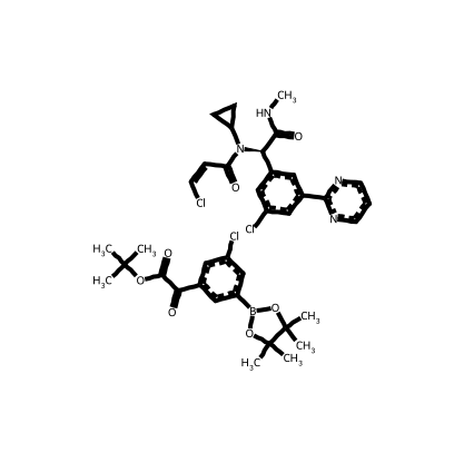 CC(C)(C)OC(=O)C(=O)c1cc(Cl)cc(B2OC(C)(C)C(C)(C)O2)c1.CNC(=O)[C@@H](c1cc(Cl)cc(-c2ncccn2)c1)N(C(=O)/C=C\Cl)C1CC1